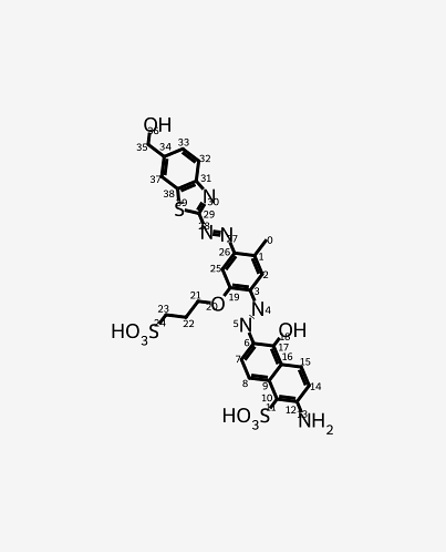 Cc1cc(N=Nc2ccc3c(S(=O)(=O)O)c(N)ccc3c2O)c(OCCCS(=O)(=O)O)cc1N=Nc1nc2ccc(CO)cc2s1